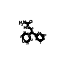 NC(=O)NCC(c1ccccn1)N1CCOCC1